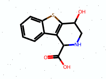 O=C(O)C1NCC(O)c2sc3ccccc3c21